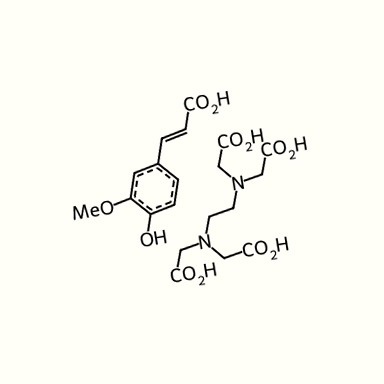 COc1cc(C=CC(=O)O)ccc1O.O=C(O)CN(CCN(CC(=O)O)CC(=O)O)CC(=O)O